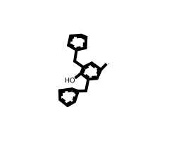 [CH2]c1cc(Cc2ccccc2)c(O)c(Cc2ccccc2)c1